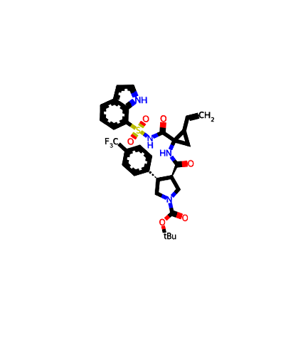 C=CC1CC1(NC(=O)[C@H]1CN(C(=O)OC(C)(C)C)C[C@@H]1c1ccc(C(F)(F)F)cc1)C(=O)NS(=O)(=O)c1cccc2cc[nH]c12